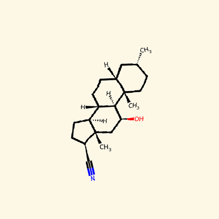 C[C@@H]1CC[C@@]2(C)[C@H](CC[C@@H]3[C@@H]2[C@@H](O)C[C@]2(C)[C@@H](C#N)CC[C@@H]32)C1